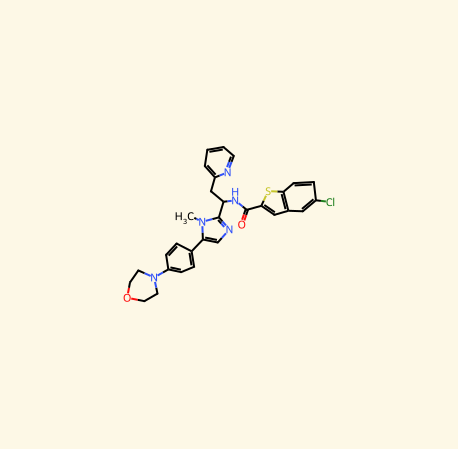 Cn1c(-c2ccc(N3CCOCC3)cc2)cnc1C(Cc1ccccn1)NC(=O)c1cc2cc(Cl)ccc2s1